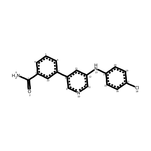 NC(=O)c1cccc(-c2cncc(Nc3ccc(Cl)cc3)c2)c1